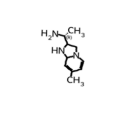 CC1=CC2NC([C@@H](C)N)CN2C=C1